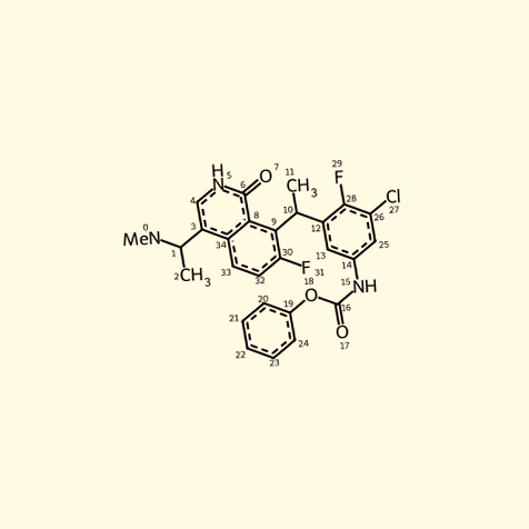 CNC(C)c1c[nH]c(=O)c2c(C(C)c3cc(NC(=O)Oc4ccccc4)cc(Cl)c3F)c(F)ccc12